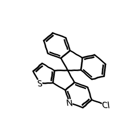 Clc1cnc2c(c1)C1(c3ccccc3-c3ccccc31)c1ccsc1-2